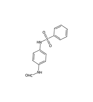 O=CNc1ccc(NS(=O)(=O)c2ccccc2)cc1